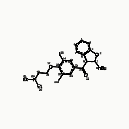 CCCCC1Oc2ccccc2C1C(=O)c1cc(I)c(OCCN(CC)CC)c(I)c1